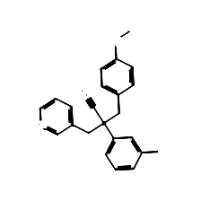 COc1ccc(CC(C#N)(Cc2cccnc2)c2cccc(F)c2)cc1